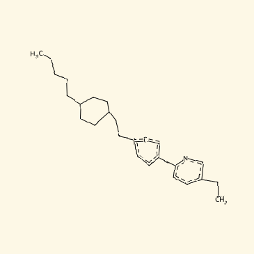 CCCCCC1CCC(CCc2ccc(-c3ccc(CC)cn3)cc2)CC1